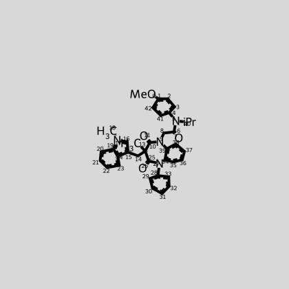 COc1ccc(N(C(=O)CN2C(=O)C(C)(Cc3cn(C)c4ccccc34)C(=O)N(c3ccccc3)c3ccccc32)C(C)C)cc1